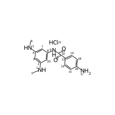 CNc1cc(NC)cc(NS(=O)(=O)c2ccc(N)cc2)c1.Cl